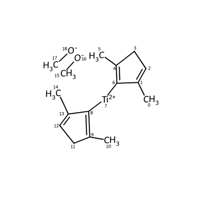 CC1=CCC(C)=[C]1[Ti+2][C]1=C(C)CC=C1C.C[O-].C[O-]